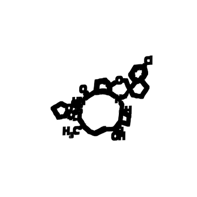 C[C@@H]1C/C=C/[C@H](O)[C@@H]2CC[C@H]2CN2C[C@@]3(CCCc4cc(Cl)ccc43)COc3ccc(cc32)C(=O)NS(=O)(=O)[C@H]1C[C@@H]1CCCO1